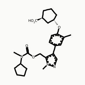 Cc1cc(-c2cnn(C)c2COC(=O)N(C)C2CCCC2)ccc1O[C@H]1CCC[C@H](C(=O)O)C1